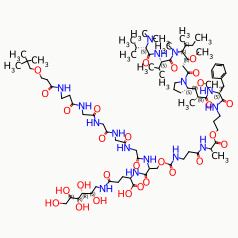 CC[C@H](C)[C@@H]([C@@H](CC(=O)N1CCC[C@H]1[C@H](OC)[C@@H](C)C(=O)N[C@@H](Cc1ccccc1)C(=O)NCCCOC(=O)C(C)NC(=O)CCNC(=O)OCC(NC(=O)CNC(=O)CNC(=O)CNC(=O)CNC(=O)CCNC(=O)CCOCC(C)(C)C)C(=O)NC(CCC(=O)NC[C@H](O)[C@@H](O)[C@H](O)[C@H](O)CO)C(=O)O)OC)N(C)C(=O)[C@@H](NC(=O)[C@H](C(C)C)N(C)C)C(C)C